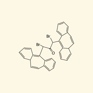 O=C(C(Br)C1=C2C=CC=CC2C=Cc2ccccc21)C(Br)C1=C2C=CC=CC2C=Cc2ccccc21